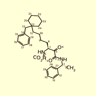 C[C@@H](NC(=O)C(=O)[C@H](CCCCC1(Cc2ccccc2)CCCCC1)NC(=O)O)c1ccccc1